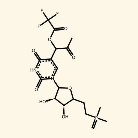 C=P(C)(C)CCC1OC(n2cc(C(OC(=O)C(F)(F)F)C(C)=O)c(=O)[nH]c2=O)[C@H](O)[C@@H]1O